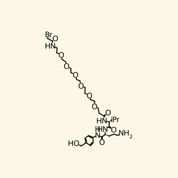 CC(C)[C@H](NC(=O)CCOCCOCCOCCOCCOCCOCCNC(=O)CBr)C(=O)N[C@@H](CCCN)C(=O)Nc1ccc(CO)cc1